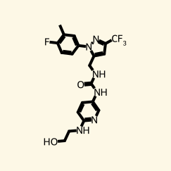 Cc1cc(-n2nc(C(F)(F)F)cc2CNC(=O)Nc2ccc(NCCO)nc2)ccc1F